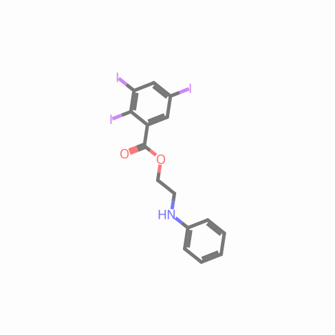 O=C(OCCNc1ccccc1)c1cc(I)cc(I)c1I